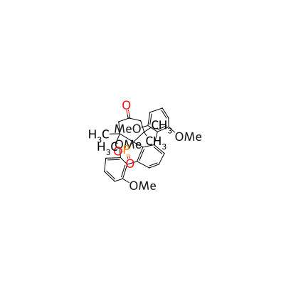 COc1cccc(OC)c1-c1cccc(-c2c(OC)cccc2OC)c1C1(P(=O)=O)C(C)(C)CC(=O)CC1(C)C